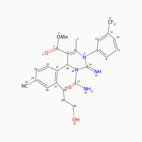 COC(=O)C1=C(C)N(c2cccc(C(F)(F)F)c2)C(=N)N(C(N)=O)C1c1ccc(C#N)cc1CCCO